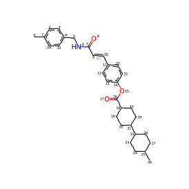 Cc1ccc(CNC(=O)/C=C/c2ccc(OC(=O)C3CCC(C4CCC(C)CC4)CC3)cc2)cc1